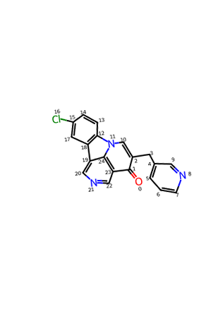 O=c1c(Cc2cccnc2)cn2c3ccc(Cl)cc3c3cncc1c32